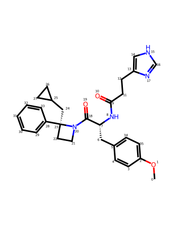 COc1ccc(C[C@@H](NC(=O)CCc2c[nH]cn2)C(=O)N2CC[C@@]2(CC2CC2)c2ccccc2)cc1